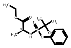 CCOC(=O)[C@H](C)NP(=S)(Oc1ccccc1)C(C)(C)C